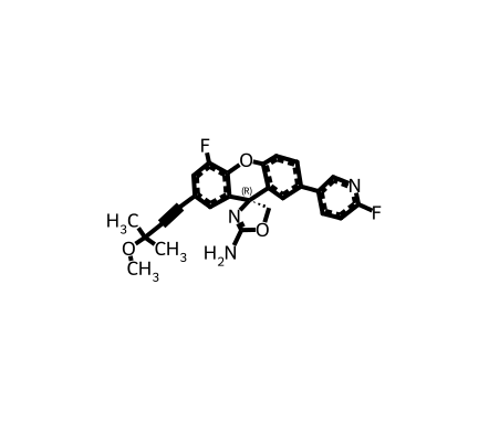 COC(C)(C)C#Cc1cc(F)c2c(c1)[C@@]1(COC(N)=N1)c1cc(-c3ccc(F)nc3)ccc1O2